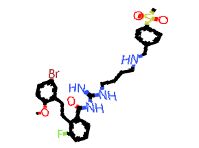 COc1ccc(Br)cc1CCc1c(F)cccc1C(=O)NC(=N)NCCCCNCc1ccc(S(C)(=O)=O)cc1